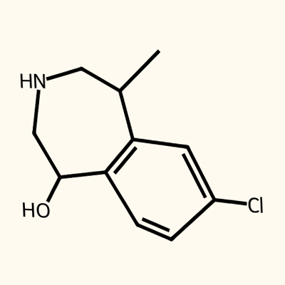 CC1CNCC(O)c2ccc(Cl)cc21